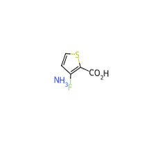 N.O=C(O)c1sccc1F